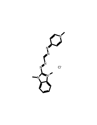 Cn1ccc(=NN=CN=Nc2n(C)c3ccccc3[n+]2C)cc1.[Cl-]